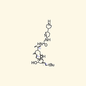 C=C/C(=C\NC(=O)CNC1CCC(C2CCNCC2)C=N1)C(CCO)C[C@H](C)/C=C/N1NC[C@@](C)(/C=C/C(C)(C)C)CC1O